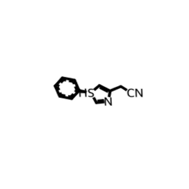 N#CCC1=C[SH](c2ccccc2)C=N1